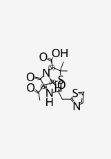 CC(=O)[C@]1(NC(=O)Cc2nccs2)C(=O)N2[C@@H](C(=O)O)C(C)(C)S[C@@H]21